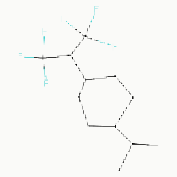 CC(C)C1CCC(C(C(F)(F)F)C(F)(F)F)CC1